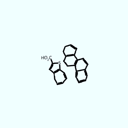 C1=CC2=C(CC1)CCc1c2ccc2ccccc12.O=C(O)c1cc2c(s1)C=CC=CC2